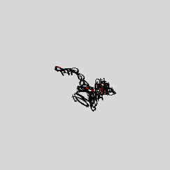 CC[C@H](O)[C@@](C)(C(=O)[C@@H](C)O)[C@H]([C@H](OC(=O)c1ccccc1)[C@]1(O)C[C@H](OC(=O)[C@H](OC(=O)COCCOCCNC(=O)OCc2ccccc2)[C@@H](NC(=O)OC(C)(C)C)c2ccccc2)C(C)=CC1(C)C)[C@]1(OC(C)=O)CO1